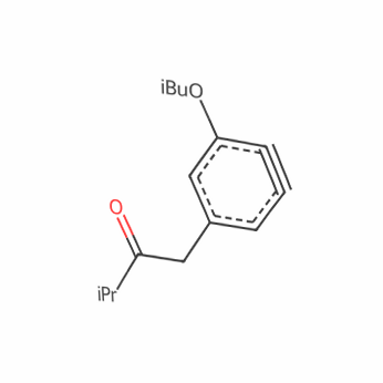 CC(C)COc1c#ccc(CC(=O)C(C)C)c1